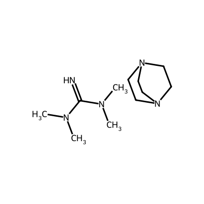 C1CN2CCN1CC2.CN(C)C(=N)N(C)C